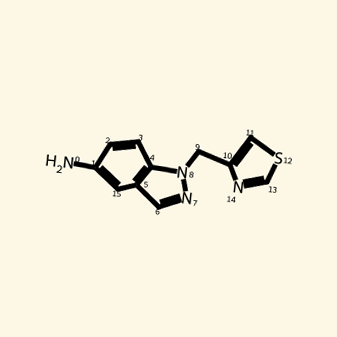 Nc1ccc2c(cnn2Cc2cscn2)c1